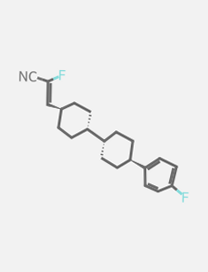 N#CC(F)=C[C@H]1CC[C@H]([C@H]2CC[C@H](c3ccc(F)cc3)CC2)CC1